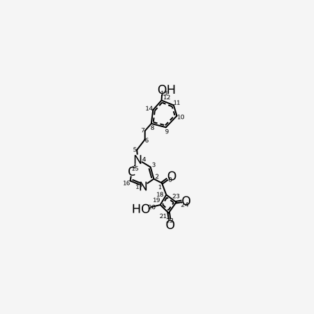 O=C(C1=CN(CCCc2cccc(O)c2)CC=N1)c1c(O)c(=O)c1=O